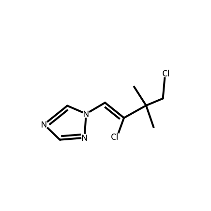 CC(C)(CCl)C(Cl)=Cn1cncn1